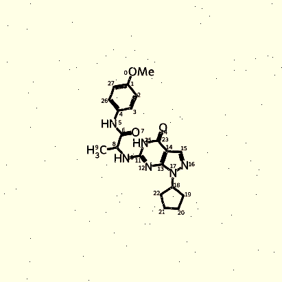 COc1ccc(NC(=O)C(C)Nc2nc3c(cnn3C3CCCC3)c(=O)[nH]2)cc1